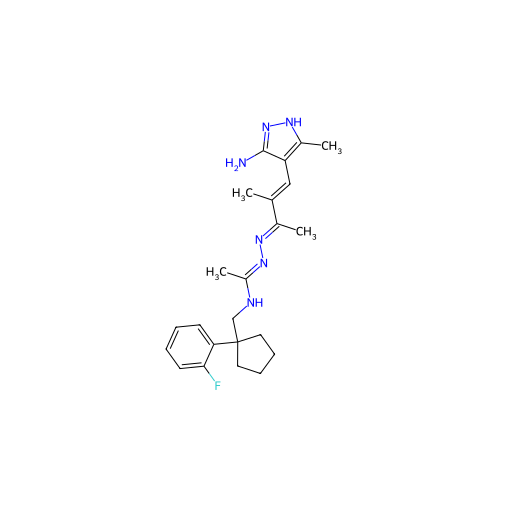 CC(=C\c1c(N)n[nH]c1C)/C(C)=N/N=C(\C)NCC1(c2ccccc2F)CCCC1